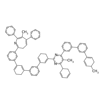 CC1=C(c2ccccc2)N=C(c2cccc(C3=CCCC(c4cccc(C5=CCCC(c6nc(-c7cccc(-c8cccc(C9=CCC(C)C=C9)c8)c7)c(C)c(C7C=CC=CC7)n6)=C5)c4)=C3)c2)CC=C1c1ccccc1